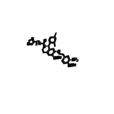 COc1ccc(CCOc2cc3c(cc2OC)CCN(C(=O)NCc2cocn2)C3c2ccc(C)cc2C)cc1N